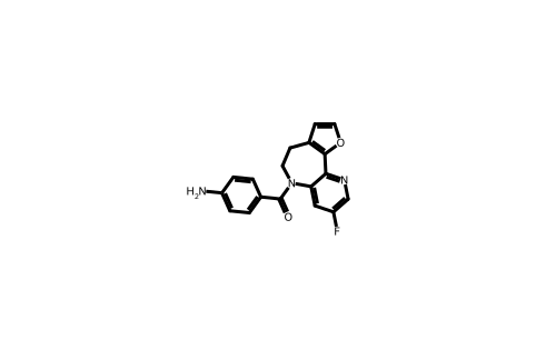 Nc1ccc(C(=O)N2CCc3ccoc3-c3ncc(F)cc32)cc1